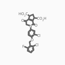 O=C1CN(c2ccc(OCc3c(F)cccc3Cl)c(Cl)c2)C(=O)C2=C1C(C(=O)O)CC2C(=O)O